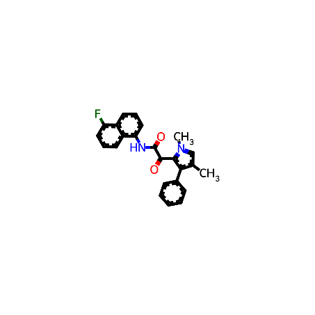 Cc1cn(C)c(C(=O)C(=O)Nc2cccc3c(F)cccc23)c1-c1ccccc1